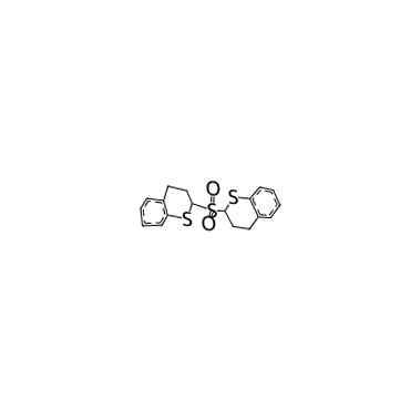 O=S(=O)(C1CCc2ccccc2S1)C1CCc2ccccc2S1